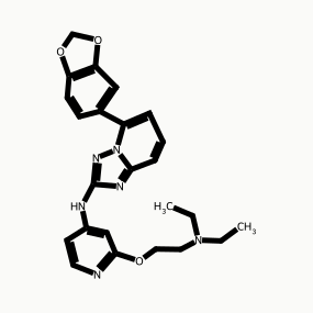 CCN(CC)CCOc1cc(Nc2nc3cccc(-c4ccc5c(c4)OCO5)n3n2)ccn1